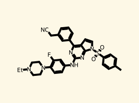 CCN1CCN(c2ccc(Nc3nc(-c4cccc(CC#N)c4)c4ccn(S(=O)(=O)c5ccc(C)cc5)c4n3)cc2F)CC1